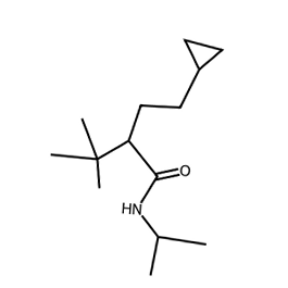 CC(C)NC(=O)C(CCC1CC1)C(C)(C)C